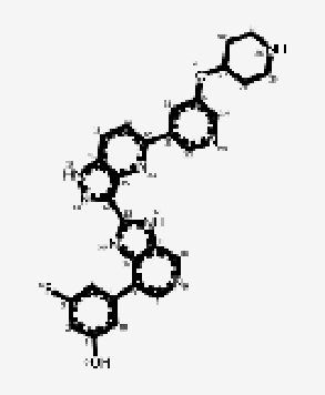 Oc1cc(F)cc(-c2cncc3[nH]c(-c4n[nH]c5ccc(-c6cncc(OC7CCNCC7)c6)nc45)nc23)c1